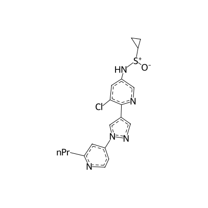 CCCc1cc(-n2cc(-c3ncc(N[S+]([O-])C4CC4)cc3Cl)cn2)ccn1